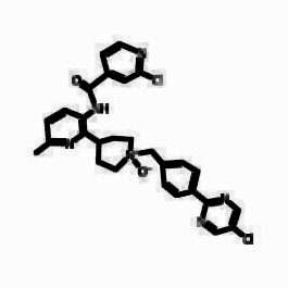 Cc1ccc(NC(=O)c2ccnc(Cl)c2)c(C2CC[N+]([O-])(Cc3ccc(-c4ncc(Cl)cn4)cc3)CC2)n1